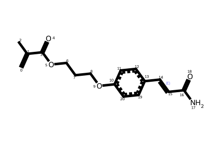 C=C(C)C(=O)OCCCOc1ccc(/C=C/C(N)=O)cc1